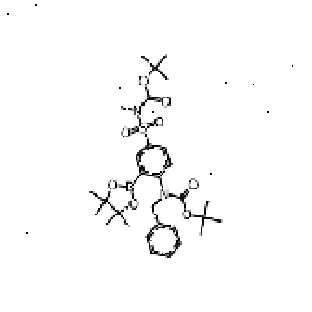 CN(C(=O)OC(C)(C)C)S(=O)(=O)c1ccc(N(Cc2ccccc2)C(=O)OC(C)(C)C)c(B2OC(C)(C)C(C)(C)O2)c1